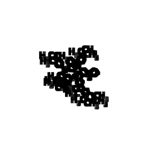 CC1(C)Cc2cc3c(cc2C(C)(C)C1)C(C)(C)c1cc2c(cc1-3)-c1c3c(cc4c1sc1ccccc14)N(c1ccc(C(C)(C)C)cc1-c1ccccc1)c1ccc(N(c4ccc(C(C)(C)C)cc4)c4ccc(C(C)(C)C)cc4)cc1B3N2c1ccc(C(C)(C)C)cc1